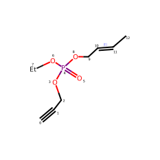 C#CCOP(=O)(OCC)OC/C=C/C